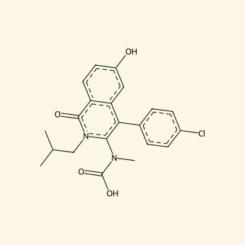 CC(C)Cn1c(N(C)C(=O)O)c(-c2ccc(Cl)cc2)c2cc(O)ccc2c1=O